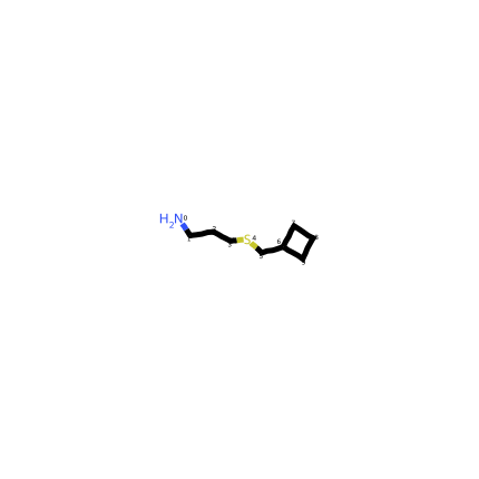 NCCCSCC1CCC1